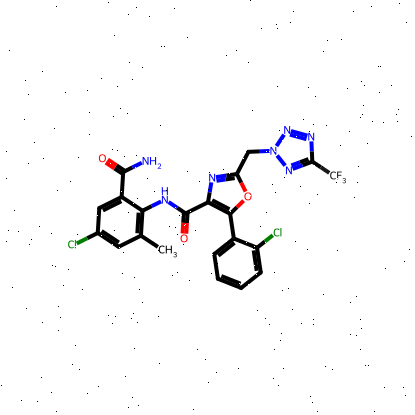 Cc1cc(Cl)cc(C(N)=O)c1NC(=O)c1nc(Cn2nnc(C(F)(F)F)n2)oc1-c1ccccc1Cl